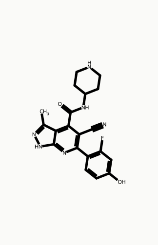 Cc1n[nH]c2nc(-c3ccc(O)cc3F)c(C#N)c(C(=O)NC3CCNCC3)c12